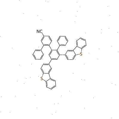 N#Cc1ccc(-c2cc(-c3ccc4sc5ccccc5c4c3)cc(-c3ccc4sc5ccccc5c4c3)c2-c2ccccc2)c(-c2ccccc2)c1